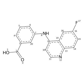 O=C(O)c1cccc(Nc2ccnc3ccc(F)cc23)c1